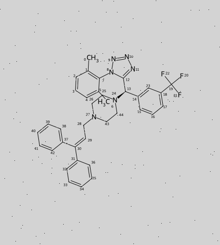 Cc1cccc(C)c1-n1nnnc1[C@@H](c1cccc(C(F)(F)F)c1)N1CCN(CC=C(c2ccccc2)c2ccccc2)CC1